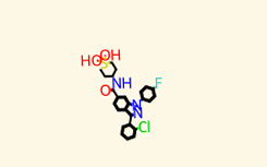 O=C(NC1CCS(O)(O)CC1)c1ccc2c(-c3ccccc3Cl)nn(-c3ccc(F)cc3)c2c1